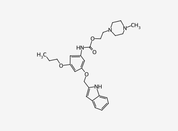 CCCOc1cc(NC(=O)OCCN2CCN(C)CC2)cc(OCc2cc3ccccc3[nH]2)c1